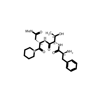 CNC(=O)C[C@H](NC(=O)[C@@H](NC(=O)[C@@H](N)Cc1ccccc1)[C@@H](C)O)C(=O)N1CCCCC1